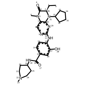 CC[C@@H]1C(=O)N(C)c2cnc(Nc3ccc(C(=O)NC4CCN(C)CC4)cc3O)nc2N1C1CCCC1